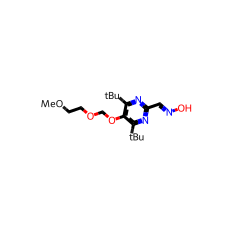 COCCOCOc1c(C(C)(C)C)nc(C=NO)nc1C(C)(C)C